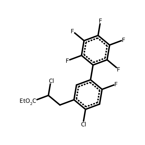 CCOC(=O)C(Cl)Cc1cc(-c2c(F)c(F)c(F)c(F)c2F)c(F)cc1Cl